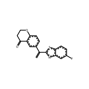 C=C(c1ccc2c(c1)C(=O)CCO2)c1nc2cc(F)ccc2s1